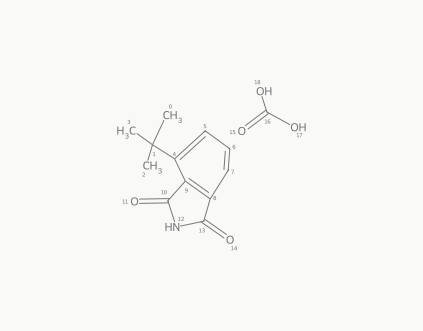 CC(C)(C)c1cccc2c1C(=O)NC2=O.O=C(O)O